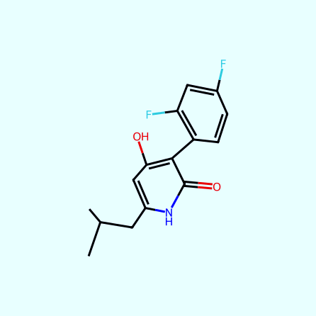 CC(C)Cc1cc(O)c(-c2ccc(F)cc2F)c(=O)[nH]1